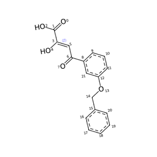 O=C(O)/C(O)=C/C(=O)c1cccc(OCc2ccccc2)c1